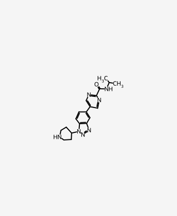 CC(C)NC(=O)c1ncc(-c2ccc3c(c2)nnn3C2CCNCC2)cn1